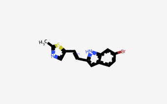 Cc1ncc(/C=C/c2cc3ccc(Br)cc3[nH]2)s1